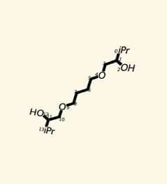 CC(C)C(O)COCCCCOCC(O)C(C)C